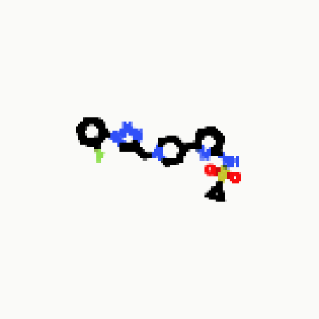 O=S(=O)(Nc1cccc(C2CCN(Cc3cn(-c4ccccc4F)nn3)CC2)n1)C1CC1